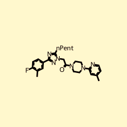 CCCCCc1nc(-c2ccc(F)c(C)c2)nn1CC(=O)N1CCN(c2cc(C)ccn2)CC1